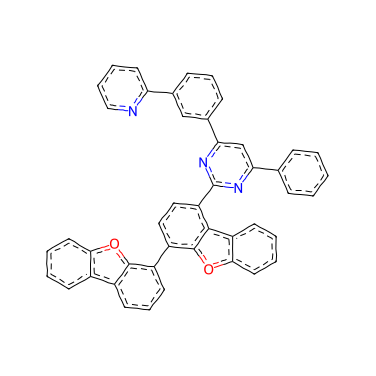 c1ccc(-c2cc(-c3cccc(-c4ccccn4)c3)nc(-c3ccc(-c4cccc5c4oc4ccccc45)c4oc5ccccc5c34)n2)cc1